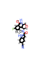 CN(C(=O)c1cc2cc(C#N)ccc2[nH]1)[C@H]1COCc2[nH]c(=O)c3cc(F)ccc3c21